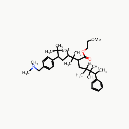 CCC(CC(c1ccc(CN(C)C)cc1)C(C)(C)CC)C(C)(C)C(CC(C)(CC)C(C)(C)C(C)c1ccccc1)C(=O)OCCOC